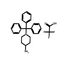 NC1CCN(C(c2ccccc2)(c2ccccc2)c2ccccc2)CC1.O=C(O)C(F)(F)F